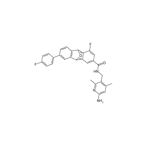 Cc1cc(N)nc(C)c1CNC(=O)c1cc(F)c2c(c1)c1oc2c2ccc(-c3ccc(F)cc3)cc21